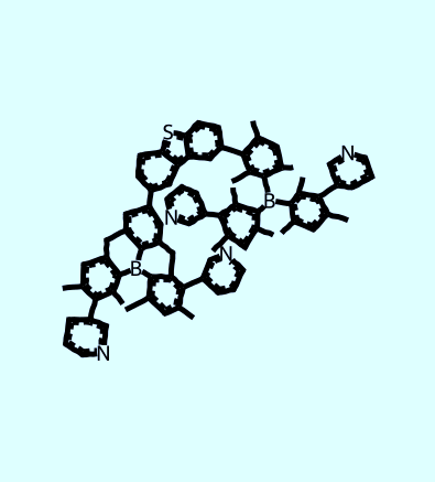 Cc1cc(C)c(-c2cccnc2)c(C)c1B(c1c(C)cc(C)c(-c2cccnc2)c1C)c1c(C)cc(C)c(-c2ccc3sc4ccc(-c5cc6c7c(c5)Cc5c(c(C)cc(C)c5-c5cccnc5)B7c5c(cc(C)c(-c7cccnc7)c5C)C6)cc4c3c2)c1C